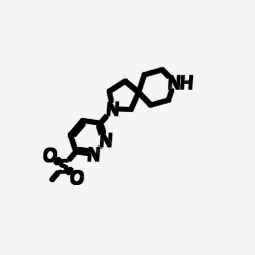 CS(=O)(=O)c1ccc(N2CCC3(CCNCC3)C2)nn1